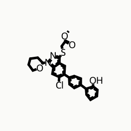 COC(=O)CSc1nn(C2CCCCO2)c2cc(Cl)c(-c3ccc(-c4ccccc4O)cc3)cc12